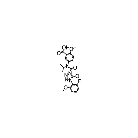 COc1ccc(N(C(=O)n2nnn(-c3c(F)cccc3OC)c2=O)C(C)C)cc1C(=O)O